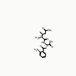 CC(CC(=O)O)[C@H](N)C(=O)N[C@@H](CC(=O)c1ccccc1N)C(=O)O